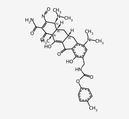 Cc1ccc(OC(=O)NCc2cc(N(C)C)c3c(c2O)C(=O)C2=C(O)[C@]4(C)C(=O)C(C(N)=O)=C(N=O)[C@@H](N(C)C)[C@@H]4C[C@@H]2C3)cc1